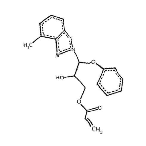 C=CC(=O)OCC(O)C(Oc1ccccc1)n1nc2cccc(C)c2n1